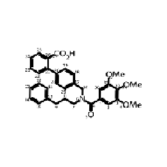 COc1cc(C(=O)N(CCCc2ccccc2)Cc2ccc(-c3ccccc3C(=O)O)cc2)cc(OC)c1OC